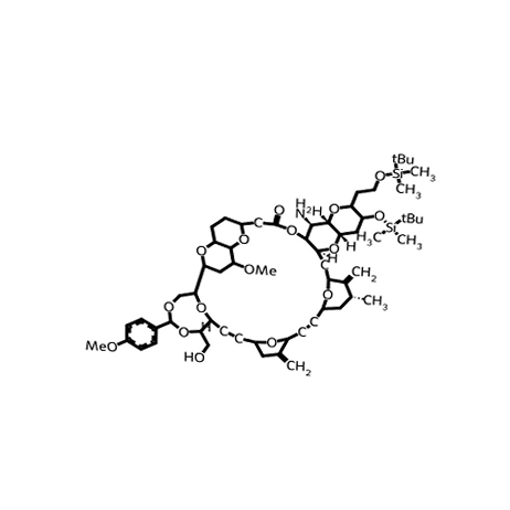 C=C1CC2CC[C@H]3OC(COC(c4ccc(OC)cc4)OC3CO)C3CC(OC)C4OC(CCC4O3)CC(=O)OC3[C@H](CC4OC(CCC1O2)C[C@@H](C)C4=C)O[C@H]1CC(O[Si](C)(C)C(C)(C)C)C(CCO[Si](C)(C)C(C)(C)C)O[C@H]1[C@@H]3N